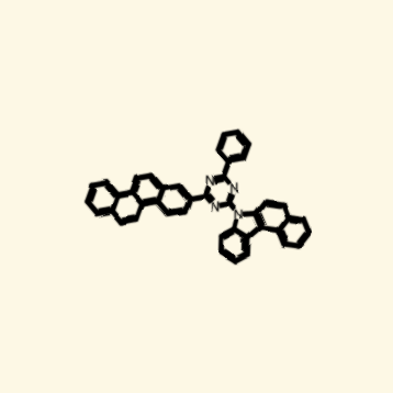 c1ccc(-c2nc(-c3ccc4c(ccc5c6ccccc6ccc45)c3)nc(-n3c4ccccc4c4c5ccccc5ccc43)n2)cc1